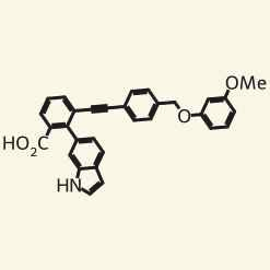 COc1cccc(OCc2ccc(C#Cc3cccc(C(=O)O)c3-c3ccc4cc[nH]c4c3)cc2)c1